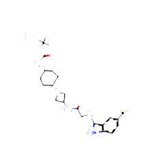 CC(C)(C)OC(=O)N[C@H]1CC[C@@H](N2CC(NC(=O)CNc3n[nH]c4ccc(C(F)(F)F)cc34)C2)CC1